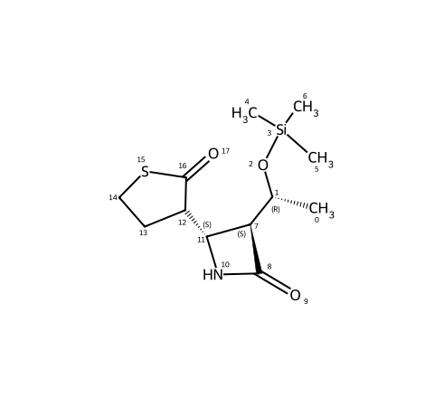 C[C@@H](O[Si](C)(C)C)[C@H]1C(=O)N[C@@H]1C1CCSC1=O